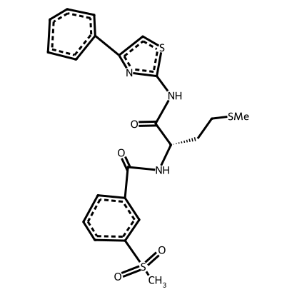 CSCC[C@H](NC(=O)c1cccc(S(C)(=O)=O)c1)C(=O)Nc1nc(-c2ccccc2)cs1